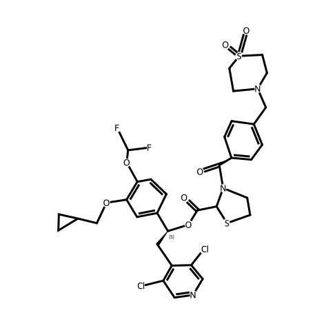 O=C(O[C@@H](Cc1c(Cl)cncc1Cl)c1ccc(OC(F)F)c(OCC2CC2)c1)C1SCCN1C(=O)c1ccc(CN2CCS(=O)(=O)CC2)cc1